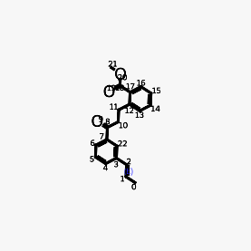 C/C=C/c1cccc(C(=O)CCc2ccccc2C(=O)OC)c1